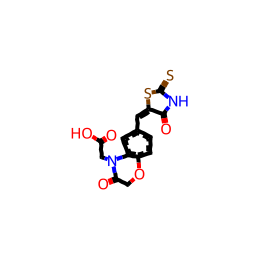 O=C(O)CN1C(=O)COc2ccc(/C=C3/SC(=S)NC3=O)cc21